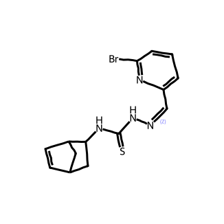 S=C(N/N=C\c1cccc(Br)n1)NC1CC2C=CC1C2